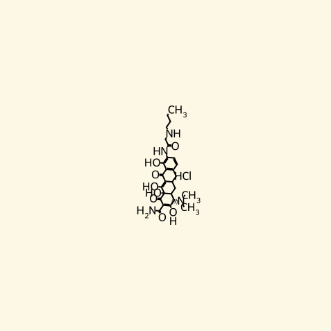 CCCCNCC(=O)Nc1ccc2c(c1O)C(=O)C1=C(O)C3(O)C(=O)C(C(N)=O)=C(O)[C@@H](N(C)C)C3CC1C2.Cl